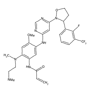 C=CC(=O)Nc1cc(Nc2cc(N3OCCC3c3cccc(C(F)(F)F)c3F)ncn2)c(OC)cc1N(C)CCNC